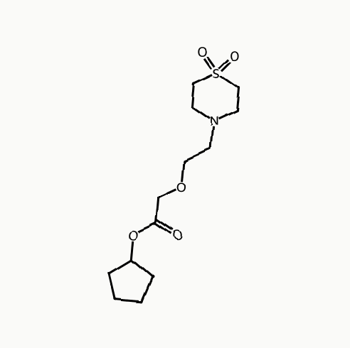 O=C(COCCN1CCS(=O)(=O)CC1)OC1CCCC1